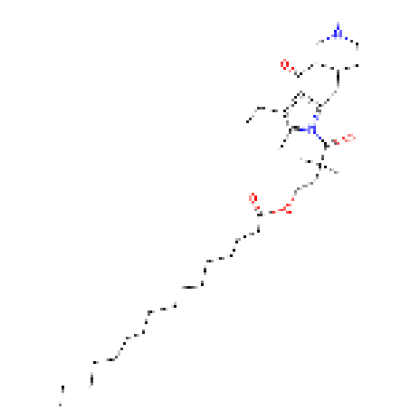 CCCCCCCCCCCCCCCC(=O)OCCC(C)(C)C(=O)n1c(C)c(CC)c2c1CC1CCN(C)CC1C2=O